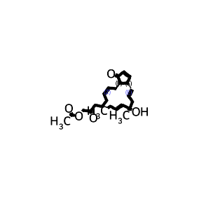 CCC=CC(C)(O)C/C=C/[C@H]1C=CC(=O)[C@@H]1C/C=C\CCCC(=O)COC(C)=O